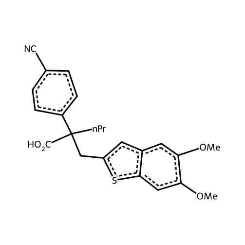 CCCC(Cc1cc2cc(OC)c(OC)cc2s1)(C(=O)O)c1ccc(C#N)cc1